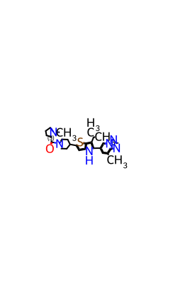 Cc1cc(-c2[nH]c3cc(C4CCN(C(=O)[C@@H]5CCCN5C)CC4)sc3c2C(C)C)cn2ncnc12